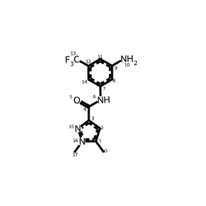 Cc1cc(C(=O)Nc2cc(N)cc(C(F)(F)F)c2)nn1C